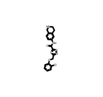 O=C(Nc1ccc2c(c1)CCNC2)c1nnc(COc2ccccc2Cl)s1